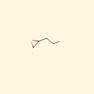 CCCCCC1O[C@H]1C=O